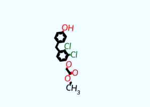 CCOC(=O)COc1ccc(Cc2ccc(O)cc2)c(Cl)c1Cl